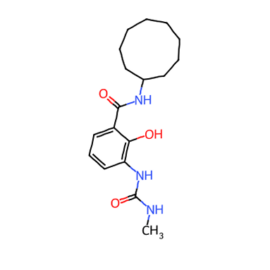 CNC(=O)Nc1cccc(C(=O)NC2CCCCCCCC2)c1O